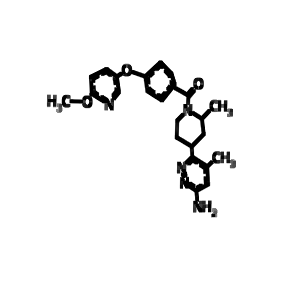 COc1ccc(Oc2ccc(C(=O)N3CCC(c4nnc(N)cc4C)CC3C)cc2)cn1